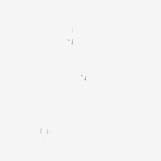 O/N=C/C1CN(c2ccc(OP)cc2)c2ccccc21